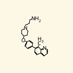 Cc1c(-c2ccc(OC3CCN(CCCN)CC3)cc2)ccc2cccnc12